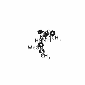 COc1cc(Nc2ncc(C(=O)Nc3c(C)cccc3C)c(NC3CCC3)n2)ccc1N1CCN(C)CC1